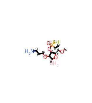 B[C@@H]1O[C@H](COC)C(OP(=O)(S)CC)[C@@H]1OCCCN